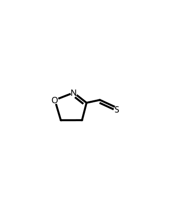 S=CC1=NOCC1